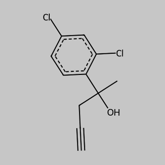 C#CCC(C)(O)c1ccc(Cl)cc1Cl